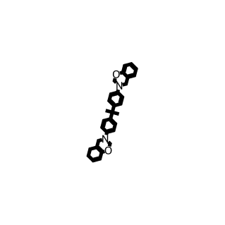 CC(C)(c1ccc(N2COC3=C(CCC=C3)C2)cc1)c1ccc(N2COc3ccccc3C2)cc1